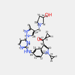 Cc1nn(-c2ccnc(Nc3ccc4c(c3)c(C(=O)C3CC3)cn4C3CC3)n2)cc1CN1CCC(O)C1